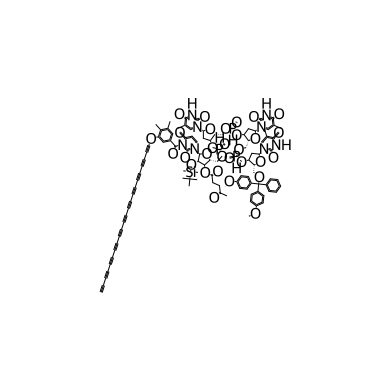 C#CC#CC#CC#CC#CC#CC#CC#CC#CC#CC#COc1cc(C(=O)n2c(=O)ccn([C@@H]3O[C@H](CO[PH](=O)OC4C[C@H](n5cc(C)c(=O)[nH]c5=O)O[C@@H]4CO[PH](=O)OC4C[C@H](n5cc(C)c(=O)[nH]c5=O)O[C@@H]4CO[PH](=O)OC4C[C@H](n5cc(C)c(=O)[nH]c5=O)O[C@@H]4COC(c4ccccc4)(c4ccc(OC)cc4)c4ccc(OC)cc4)C(OC(=O)CCC(C)=O)[C@@H]3O[Si](C)(C)C(C)(C)C)c2=O)cc(C)c1C